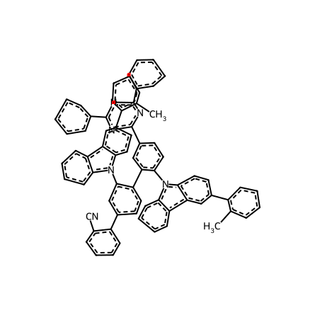 Cc1ccccc1-c1ccc2c(c1)c1ccccc1n2-c1ccc(-c2nc(-c3ccccc3)nc(-c3ccccc3)n2)cc1-c1ccc(-c2ccccc2C#N)cc1-n1c2ccccc2c2cc(-c3ccccc3C)ccc21